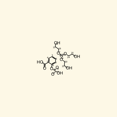 O=C(O)c1ccccc1OS(=O)(=O)O.OCCON(OCCO)OCCO